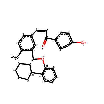 COc1ccc(/C=C\C(=O)c2ccc(O)cc2)cc1COc1ccccc1C1CCCCC1